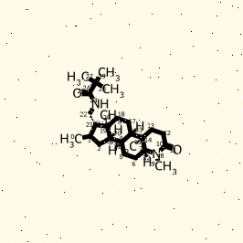 CC1C[C@H]2[C@@H]3CC[C@H]4N(C)C(=O)CC[C@]4(C)[C@H]3CC[C@]2(C)[C@H]1CNC(=O)C(C)(C)C